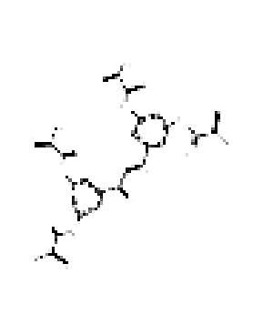 C=C(C)C(=O)Oc1cc(/C=C/C(=O)c2cc(OC(=O)C(=C)C)cc(OC(=O)C(=C)C)c2)cc(OC(=O)C(=C)C)c1